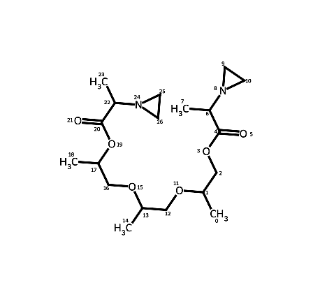 CC(COC(=O)C(C)N1CC1)OCC(C)OCC(C)OC(=O)C(C)N1CC1